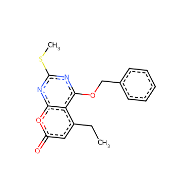 CCc1cc(=O)oc2nc(SC)nc(OCc3ccccc3)c12